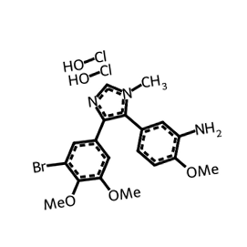 COc1ccc(-c2c(-c3cc(Br)c(OC)c(OC)c3)ncn2C)cc1N.OCl.OCl